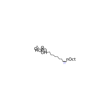 C1CO1.CCCCCCCC/C=C\CCCCCCCCOP(=O)(O)O